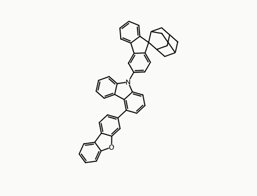 c1ccc2c(c1)-c1cc(-n3c4ccccc4c4c(-c5ccc6c(c5)oc5ccccc56)cccc43)ccc1C21C2CC3CC(C2)CC1C3